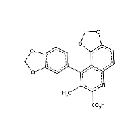 Cc1c(C(=O)O)nc2ccc3c(c2c1-c1ccc2c(c1)OCO2)OCO3